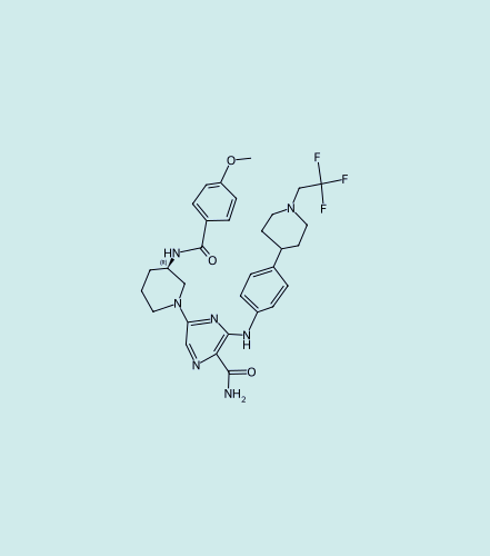 COc1ccc(C(=O)N[C@@H]2CCCN(c3cnc(C(N)=O)c(Nc4ccc(C5CCN(CC(F)(F)F)CC5)cc4)n3)C2)cc1